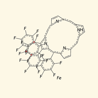 Fc1c(F)c(F)c(-c2c(-c3c(F)c(F)c(F)c(F)c3F)c3c(-c4c(F)c(F)c(F)c(F)c4F)c4nc(cc5ccc(cc6nc(cc2n3-c2c(F)c(F)c(F)c(F)c2F)C=C6)[nH]5)C=C4)c(F)c1F.[Fe]